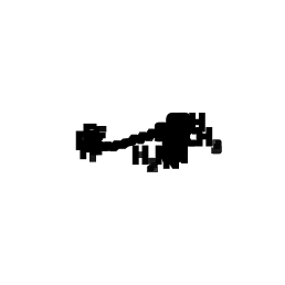 C[C@H](Cn1cnc2c(N)ncnc21)OCP(=O)(O)OCCSCCCCCCCCCCCC#Cc1c(F)c(F)c(F)c(F)c1F